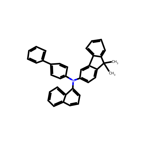 CC1(C)c2ccccc2-c2cc(N(c3ccc(-c4ccccc4)cc3)c3cccc4ccccc34)ccc21